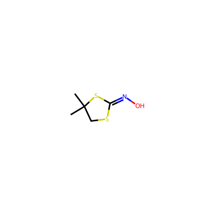 CC1(C)CSC(=NO)S1